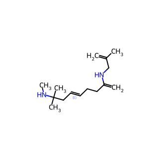 C=C(C)CNC(=C)CC/C=C/CC(C)(C)NC